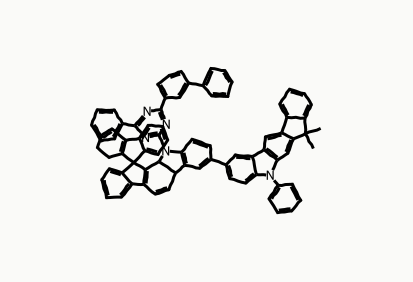 CC1(C)c2ccccc2-c2cc3c4cc(-c5ccc6c(c5)C5C=CC7=C(C5N6c5nc(-c6ccccc6)nc(-c6cccc(-c8ccccc8)c6)n5)C5(C6=C(C=CCC6)c6ccccc65)c5ccccc57)ccc4n(-c4ccccc4)c3cc21